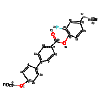 CCCCCCCCOc1ccc(-c2ccc(C(=O)Oc3ccc(C[C@@H](C)CC)cc3F)cc2)cc1